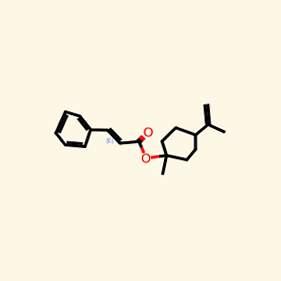 C=C(C)C1CCC(C)(OC(=O)/C=C/c2ccccc2)CC1